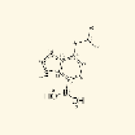 CC(C)Cc1ccc(B(O)O)c2sccc12